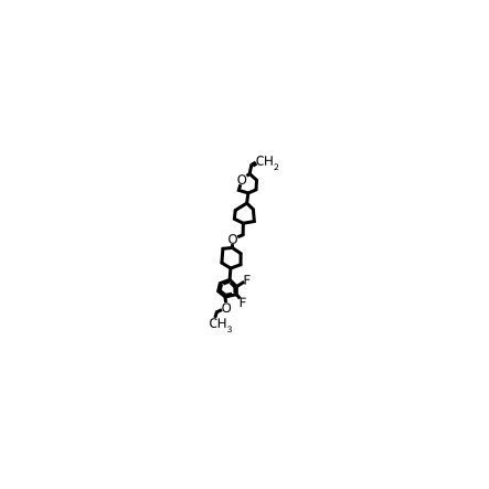 C=CC1CCC(C2CCC(COC3CCC(c4ccc(OCC)c(F)c4F)CC3)CC2)CO1